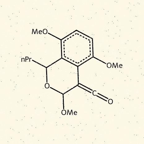 CCCC1OC(OC)C(=C=O)c2c(OC)ccc(OC)c21